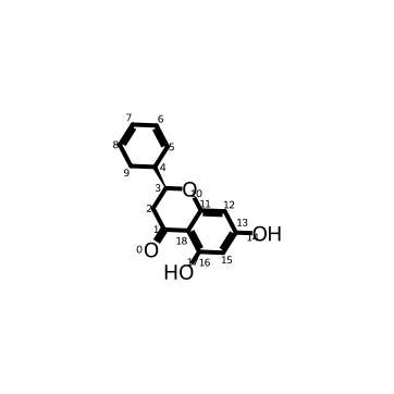 O=C1C[C@@H](C2C=CC=CC2)Oc2cc(O)cc(O)c21